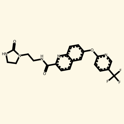 O=C(NCCN1CCNC1=O)c1ccc2cc(Oc3ccc(C(F)(F)F)cn3)ccc2n1